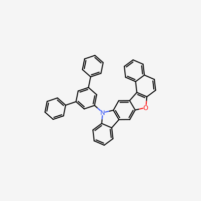 c1ccc(-c2cc(-c3ccccc3)cc(-n3c4ccccc4c4cc5oc6ccc7ccccc7c6c5cc43)c2)cc1